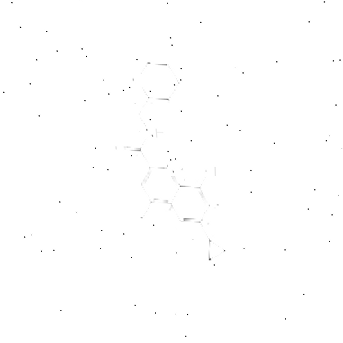 Cc1cc(C(=O)NCC2CCCCO2)nc2c(C(F)(F)F)cc(C3CC3)cc12